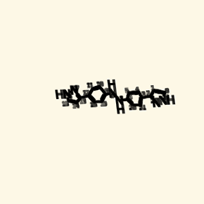 c1cc(-c2ccc(NNc3ccc(-c4cc[nH]n4)cc3)cc2)n[nH]1